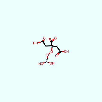 O=C(O)CC(CC(=O)O)(OOB(O)O)C(=O)O